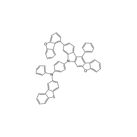 c1ccc(-c2c3c(cc4c2c2ccc(-c5cccc6oc7ccccc7c56)cc2n4-c2ccc(N(c4ccccc4)c4ccc5sc6ccccc6c5c4)cc2)oc2ccccc23)cc1